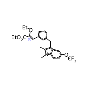 CCOC(=O)/C(=C/c1cccc(Cc2c(C)n(C)c3ccc(OC(F)(F)F)cc23)c1)OCC